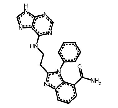 NC(=O)c1cccc2nc(CCNc3ncnc4[nH]cnc34)n(-c3ccccc3)c12